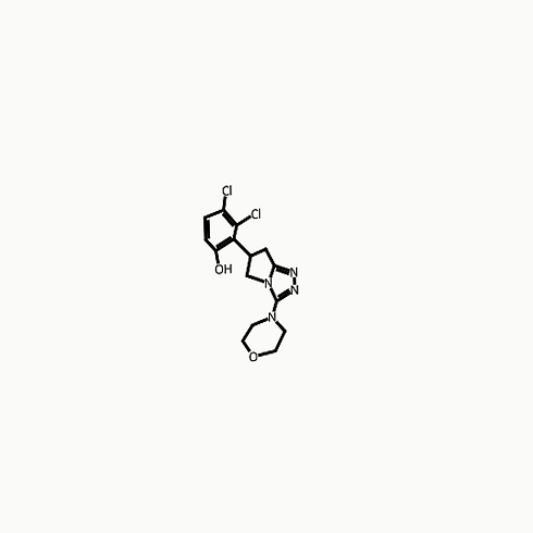 Oc1ccc(Cl)c(Cl)c1C1Cc2nnc(N3CCOCC3)n2C1